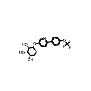 O[C@@H]1[C@@H](O)[C@H](Oc2ccc(-c3ccc(OC(F)(F)F)cc3)nc2)SC[C@H]1O